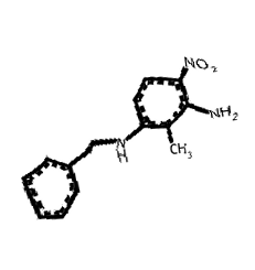 Cc1c(NCc2ccccc2)ccc([N+](=O)[O-])c1N